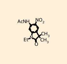 CCN1C(=O)C(C)(C)c2cc([N+](=O)[O-])c(NC(C)=O)cc21